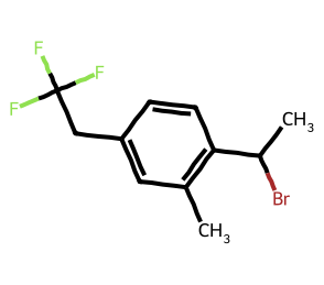 Cc1cc(CC(F)(F)F)ccc1C(C)Br